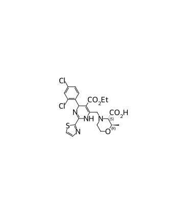 CCOC(=O)C1=C(CN2CCO[C@H](C)[C@H]2C(=O)O)NC(c2nccs2)=NC1c1ccc(Cl)cc1Cl